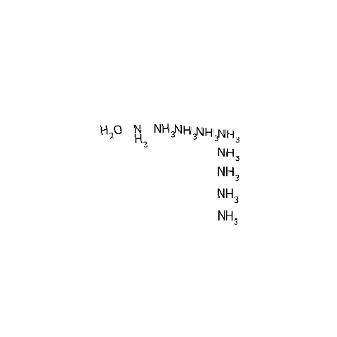 N.N.N.N.N.N.N.N.N.O